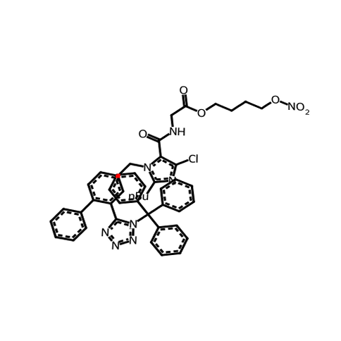 CCCCc1nc(Cl)c(C(=O)NCC(=O)OCCCCO[N+](=O)[O-])n1Cc1ccc(-c2ccccc2)c(-c2nnnn2C(c2ccccc2)(c2ccccc2)c2ccccc2)c1